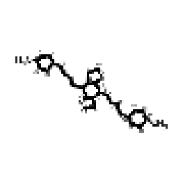 Cc1ccc(/C=C/C=C/c2c3ccsc3c(/C=C/C=C/c3ccc(C)cc3)c3ccsc23)cc1